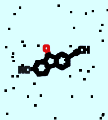 C#Cc1ccc2c(c1)C(=O)c1cc(C#N)ccc1-2